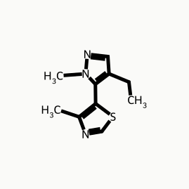 CCc1cnn(C)c1-c1scnc1C